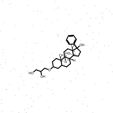 C[C@]12CCC(OCC(O)CO)CC1CC[C@@H]1[C@H]2CC[C@]2(C)C(O)(c3ccccc3)CC[C@@]12O